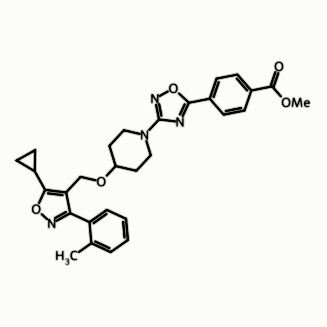 COC(=O)c1ccc(-c2nc(N3CCC(OCc4c(-c5ccccc5C)noc4C4CC4)CC3)no2)cc1